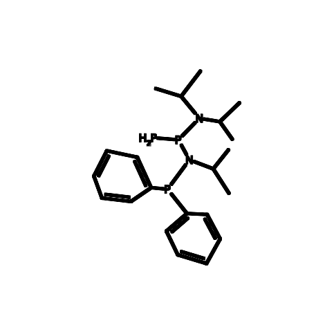 CC(C)N(C(C)C)P(P)N(C(C)C)P(c1ccccc1)c1ccccc1